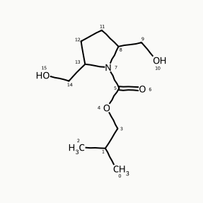 CC(C)COC(=O)N1C(CO)CCC1CO